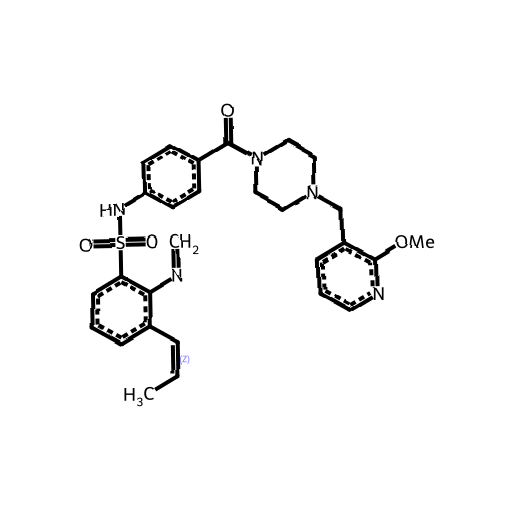 C=Nc1c(/C=C\C)cccc1S(=O)(=O)Nc1ccc(C(=O)N2CCN(Cc3cccnc3OC)CC2)cc1